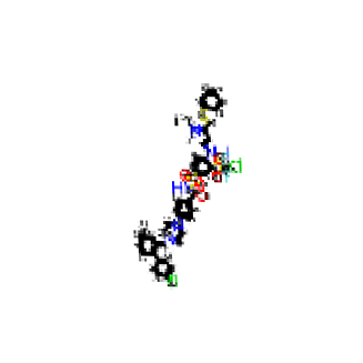 CC(C)N(C)C(CCNc1ccc(S(=O)(=O)NC(=O)c2ccc(N3CCN(CC4=C(c5ccc(Cl)cc5)CCC(C)(C)C4)CC3)cc2)cc1S(=O)(=O)C(F)(F)Cl)CSc1ccccc1